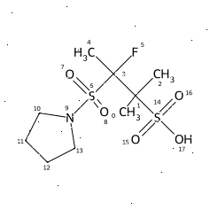 CC(C)(C(C)(F)S(=O)(=O)N1CCCC1)S(=O)(=O)O